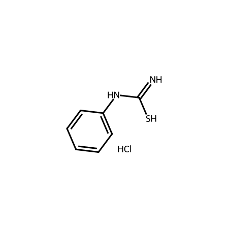 Cl.N=C(S)Nc1ccccc1